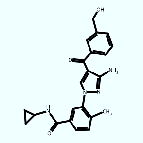 Cc1ccc(C(=O)NC2CC2)cc1-n1cc(C(=O)c2cccc(CO)c2)c(N)n1